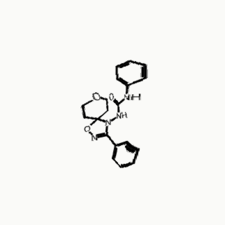 O=C(Nc1ccccc1)NN1C(c2ccccc2)=NOC12CCOCC2